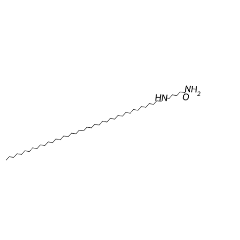 CCCCCCCCCCCCCCCCCCCCCCCCCCCCCCCCCCCCCCCCCNCCCCC(N)=O